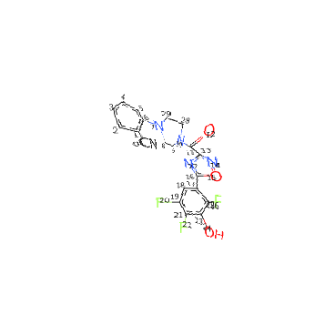 N#Cc1ccccc1N1CCN(C(=O)c2noc(-c3cc(F)c(F)c(O)c3F)n2)CC1